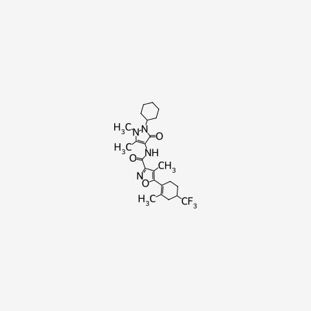 CC1=C(c2onc(C(=O)Nc3c(C)n(C)n(C4CCCCC4)c3=O)c2C)CCC(C(F)(F)F)C1